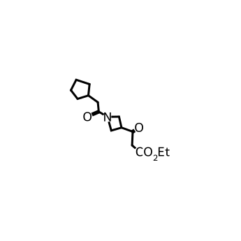 CCOC(=O)CC(=O)C1CN(C(=O)CC2CCCC2)C1